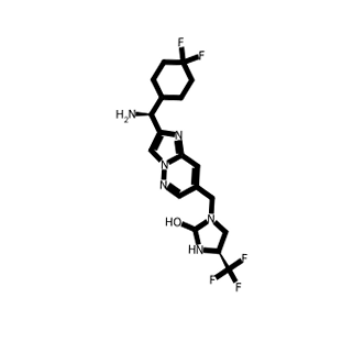 N[C@H](c1cn2ncc(CN3C[C@@H](C(F)(F)F)NC3O)cc2n1)C1CCC(F)(F)CC1